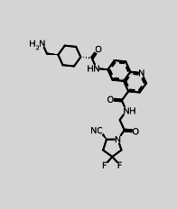 N#C[C@@H]1CC(F)(F)CN1C(=O)CNC(=O)c1ccnc2ccc(NC(=O)[C@H]3CC[C@H](CN)CC3)cc12